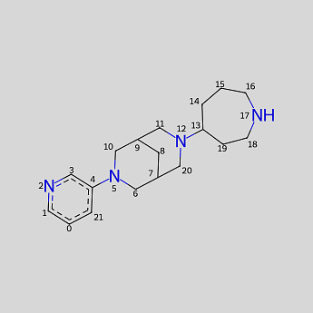 c1cncc(N2CC3CC(C2)CN(C2CCCNCC2)C3)c1